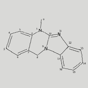 CN1c2ccccc2Cn2c1nc1ccccc12